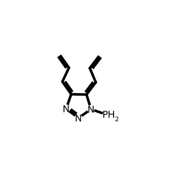 C=C/C=c1/nnn(P)/c1=C/C=C